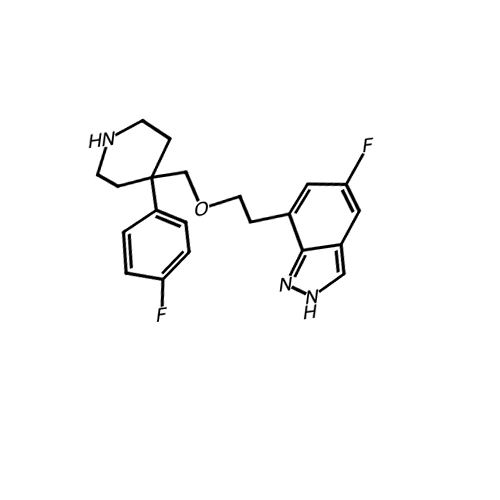 Fc1ccc(C2(COCCc3cc(F)cc4c[nH]nc34)CCNCC2)cc1